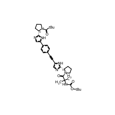 CC(C)(C)OC(=O)NC(C)(C)C(=O)N1CCC[C@H]1c1ncc(C#Cc2ccc(-c3cnc([C@@H]4CCCN4C(=O)C(C)(C)C)[nH]3)cc2)[nH]1